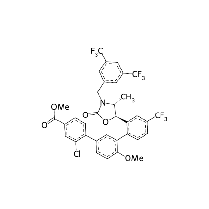 COC(=O)c1ccc(-c2ccc(OC)c(-c3ccc(C(F)(F)F)cc3[C@H]3OC(=O)N(Cc4cc(C(F)(F)F)cc(C(F)(F)F)c4)[C@@H]3C)c2)c(Cl)c1